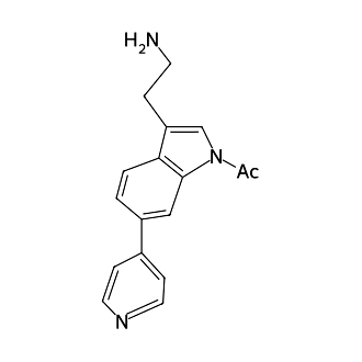 CC(=O)n1cc(CCN)c2ccc(-c3ccncc3)cc21